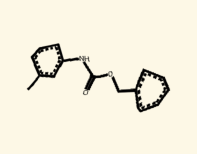 Cc1cccc(NC(=O)OCc2ccccc2)c1